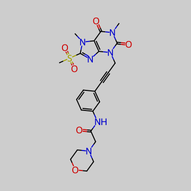 Cn1c(=O)c2c(nc(S(C)(=O)=O)n2C)n(CC#Cc2cccc(NC(=O)CN3CCOCC3)c2)c1=O